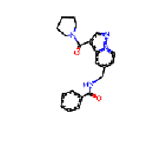 O=C(NCc1ccn2ncc(C(=O)N3CCCCC3)c2c1)c1ccccc1